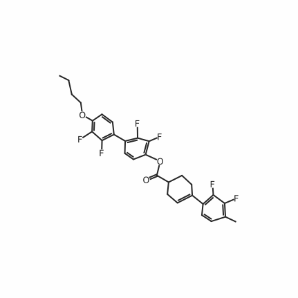 CCCCOc1ccc(-c2ccc(OC(=O)C3CC=C(c4ccc(C)c(F)c4F)CC3)c(F)c2F)c(F)c1F